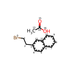 BrCCc1ccc2ccccc2c1.CC(=O)O